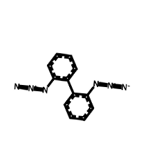 [N-]=[N+]=Nc1ccccc1-c1ccccc1N=[N+]=[N-]